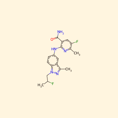 Cc1nc(Nc2ccc3c(c2)c(C)nn3CC(C)F)c(C(N)=O)cc1F